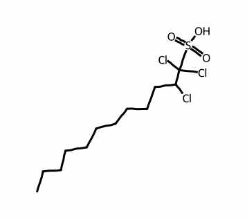 CCCCCCCCCCC(Cl)C(Cl)(Cl)S(=O)(=O)O